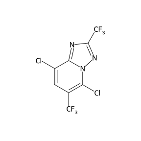 FC(F)(F)c1nc2c(Cl)cc(C(F)(F)F)c(Cl)n2n1